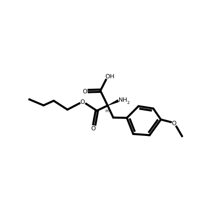 CCCCOC(=O)[C@@](N)(Cc1ccc(OC)cc1)C(=O)O